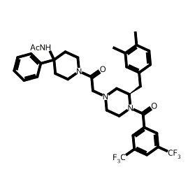 CC(=O)NC1(c2ccccc2)CCN(C(=O)CN2CCN(C(=O)c3cc(C(F)(F)F)cc(C(F)(F)F)c3)[C@H](Cc3ccc(C)c(C)c3)C2)CC1